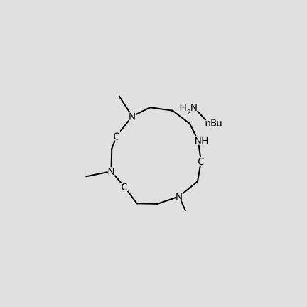 CCCCN.CN1CCCN(C)CCN(C)CCCNCC1